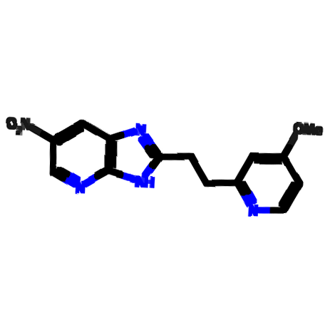 COc1ccnc(CCc2nc3cc([N+](=O)[O-])cnc3[nH]2)c1